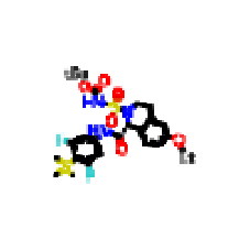 CCOc1ccc2c(c1)CCN(S(=O)(=O)NC(=O)OC(C)(C)C)[C@H]2C(=O)Nc1cc(F)c(S(C)(C)C)c(F)c1